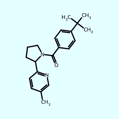 Cc1ccc(C2CCCN2C(=O)c2ccc(C(C)(C)C)cc2)nc1